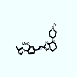 COc1cc(/C=C/c2nc3n(n2)CCC[C@@H]3C2CCN(C(C)C)CC2)ccc1-n1cnc(C)c1